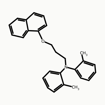 Cc1ccccc1N(CCCOc1cccc2ccccc12)c1ccccc1C